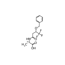 C[C@H](NC(=O)CC(OCc1ccccc1)C(F)(F)F)C(=O)O